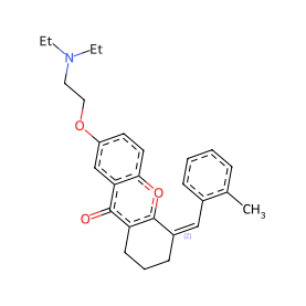 CCN(CC)CCOc1ccc2oc3c(c(=O)c2c1)CCC/C3=C/c1ccccc1C